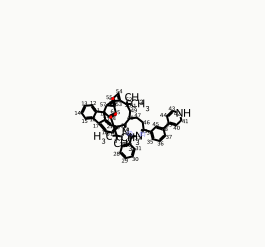 CC(C)(C)c1ccc2c(c1)C13c4ccccc4-c4ccc(cc41)C1/N=C(c4ccccc4)\N=C(\c4cccc(C5=CCNC=C5)c4)CCC1CC(C)(C)c1ccc-2c3c1